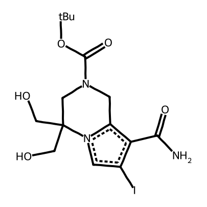 CC(C)(C)OC(=O)N1Cc2c(C(N)=O)c(I)cn2C(CO)(CO)C1